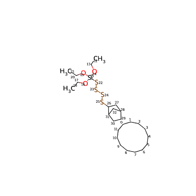 C1CCCCCCCCCCC1.CCO[Si](OCC)(OCC)SSSSC1CC2CCC1C2